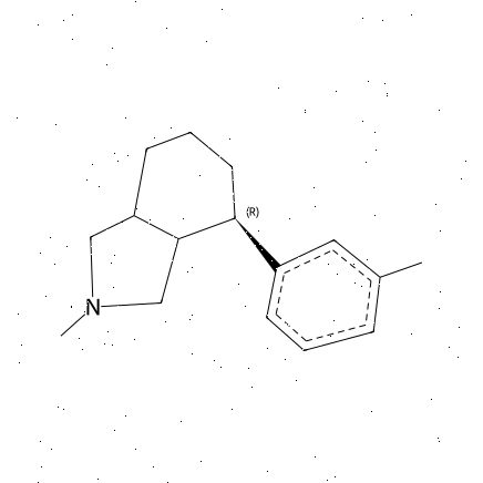 Cc1cccc([C@@H]2CCCC3CN(C)CC32)c1